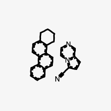 N#Cc1ccc2cnccn12.c1ccc2c(c1)ccc1c3c(ccc12)CCCC3